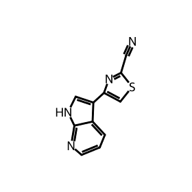 N#Cc1nc(-c2c[nH]c3ncccc23)cs1